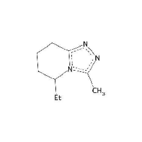 CCC1CCCc2nnc(C)n21